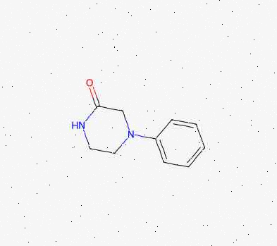 O=C1CN(c2ccccc2)CCN1